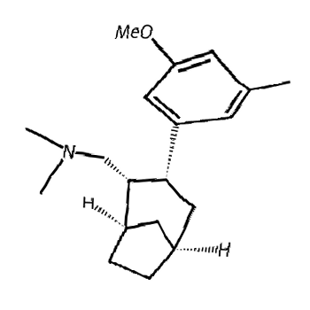 COc1cc(C)cc([C@@H]2C[C@H]3CC[C@H](C3)[C@@H]2CN(C)C)c1